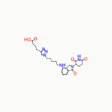 O=C(O)CCCc1cn(CCCCCNc2cccc3c2CN(C2CCC(=O)NC2=O)C3=O)nn1